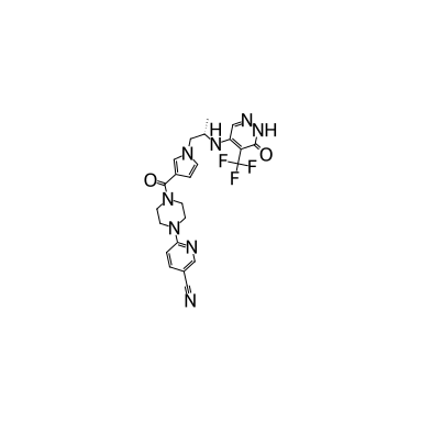 C[C@@H](Cn1ccc(C(=O)N2CCN(c3ccc(C#N)cn3)CC2)c1)Nc1cn[nH]c(=O)c1C(F)(F)F